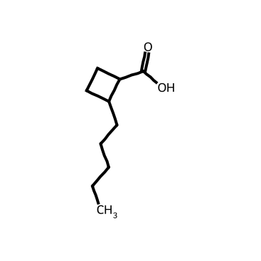 CCCCCC1CCC1C(=O)O